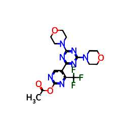 CC(=O)Oc1ncc(-c2nc(N3CCOCC3)nc(N3CCOCC3)n2)c(C(F)(F)F)n1